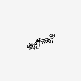 CC(C)c1c(OC(=O)CCC(NC(=O)c2ccc(NCN3C(O)=c4nccnc4=NC3N)cc2)C(=O)O)ccc(O)c1OC(=O)/C=C/C(=O)O